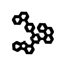 c1ccc2c(-c3ccc(-c4nc(-c5cccc6c5sc5ccccc56)nc(-c5cccc6ccc7ccccc7c56)n4)cc3)cccc2c1